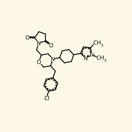 Cc1cc(C2CCC(N3CC(CN4C(=O)CCC4=O)OCC3Cc3ccc(Cl)cc3)CC2)nn1C